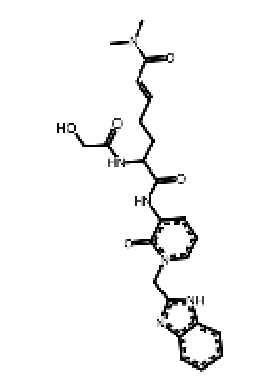 CN(C)C(=O)/C=C/CCC(NC(=O)CO)C(=O)Nc1cccn(Cc2nc3ccccc3[nH]2)c1=O